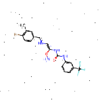 Cc1cc(CN/C=C(/NC(=O)Nc2cccc(C(F)(F)F)c2)ON)ccc1Br